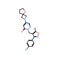 Cc1onc(-c2ccc(Cl)cc2)c1Cn1ncc(N2CC3(CCCO3)C2)cc1=O